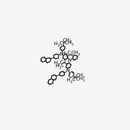 CC(C)(C)c1ccc(N(c2ccc(-c3ccc4ccccc4c3)cc2)c2cc3c4c(c2)C(C)(C)c2cc(N(C5=CCC(C(C)(C)C)C=C5)c5ccc(-c6ccc7ccccc7c6)cc5)ccc2N4c2ccccc2C3(C)C)cc1